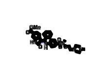 COC(=O)c1ccc2c(c1)NC(=O)/C2=C(\Nc1ccc(S(=O)(=O)N(C)OCCN2CCN(C)CC2)cc1)c1ccccc1